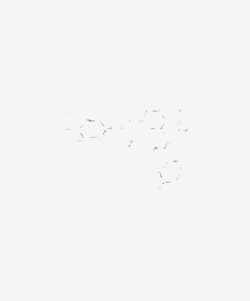 COc1cc(C(Nc2ccc(C(=N)N)cc2)C(=O)NNC(=O)c2ccccc2)ccc1OC(C)C